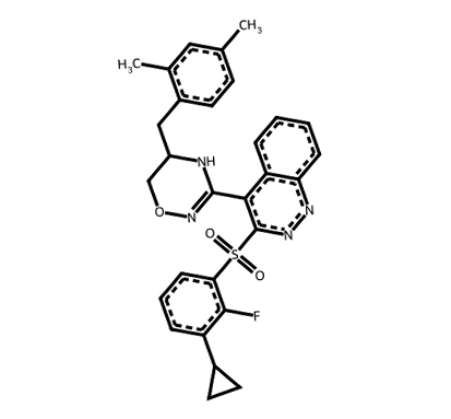 Cc1ccc(CC2CON=C(c3c(S(=O)(=O)c4cccc(C5CC5)c4F)nnc4ccccc34)N2)c(C)c1